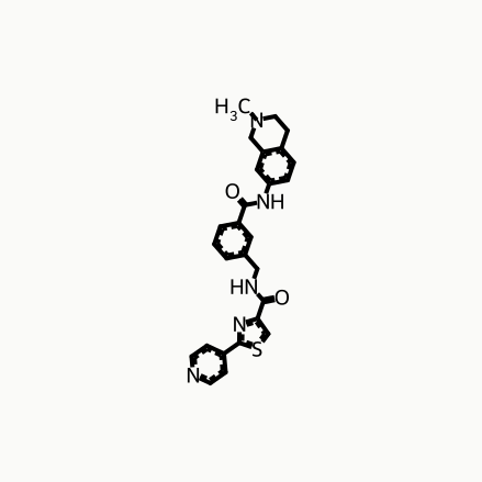 CN1CCc2ccc(NC(=O)c3cccc(CNC(=O)c4csc(-c5ccncc5)n4)c3)cc2C1